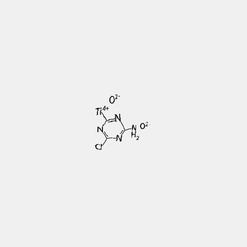 Nc1nc(Cl)n[c]([Ti+4])n1.[O-2].[O-2]